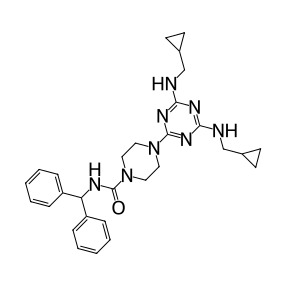 O=C(NC(c1ccccc1)c1ccccc1)N1CCN(c2nc(NCC3CC3)nc(NCC3CC3)n2)CC1